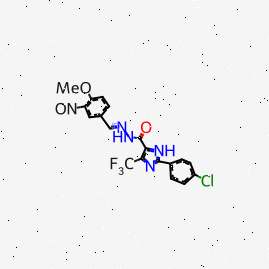 COc1ccc(/C=N/NC(=O)c2[nH]c(-c3ccc(Cl)cc3)nc2C(F)(F)F)cc1N=O